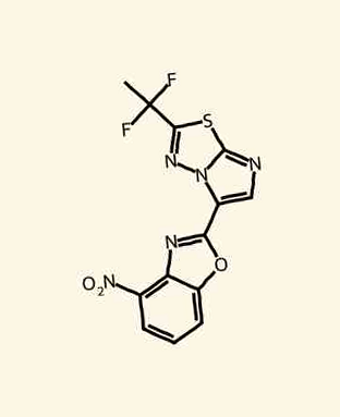 CC(F)(F)c1nn2c(-c3nc4c([N+](=O)[O-])cccc4o3)cnc2s1